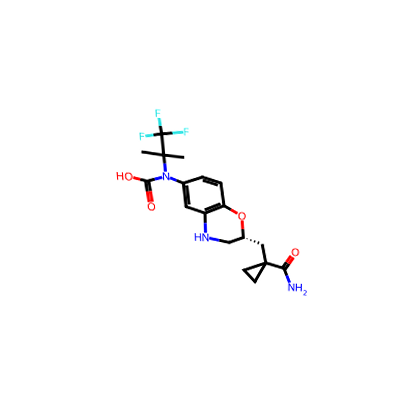 CC(C)(N(C(=O)O)c1ccc2c(c1)NC[C@@H](CC1(C(N)=O)CC1)O2)C(F)(F)F